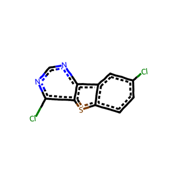 Clc1ccc2sc3c(Cl)ncnc3c2c1